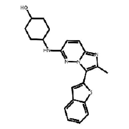 Cc1nc2ccc(NC3CCC(O)CC3)nn2c1-c1cc2ccccc2s1